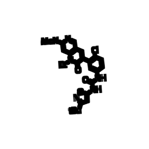 CCn1c(=O)c(-c2cc(NC(=O)Nc3cc(C(C)(C)C)no3)ccc2Cl)cc2cnc(NC)cc21